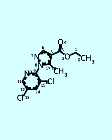 CCOC(=O)c1cnn(-c2ncc(Cl)cc2Cl)c1C